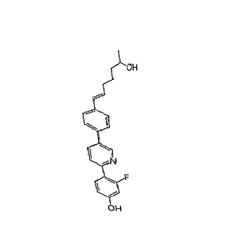 CC(O)CCCC=Cc1ccc(-c2ccc(-c3ccc(O)cc3F)nc2)cc1